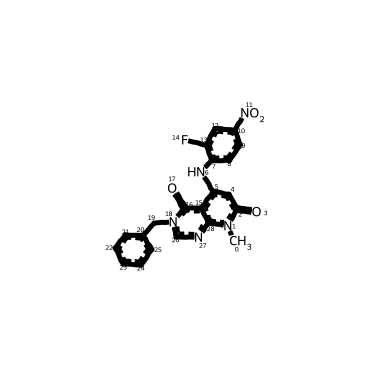 Cn1c(=O)cc(Nc2ccc([N+](=O)[O-])cc2F)c2c(=O)n(Cc3ccccc3)cnc21